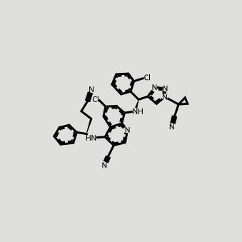 N#CCC[C@@H](Nc1c(C#N)cnc2c(N[C@H](c3cn(C4(C#N)CC4)nn3)c3ccccc3Cl)cc(Cl)cc12)c1ccccc1